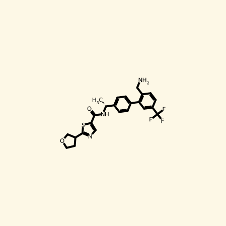 C[C@@H](NC(=O)c1cnc(C2CCOC2)s1)c1ccc(-c2cc(C(F)(F)F)ccc2CN)cc1